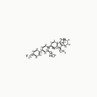 Cl.Cn1c2c(c3ccc(-n4ccc(-c5ccc(C(F)(F)F)cc5)cc4=O)nc31)CN1CCC2CC1